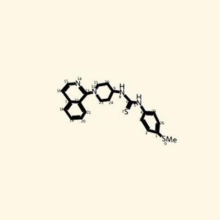 CSc1ccc(NC(=S)NC2CCN(c3nccc4ccccc34)CC2)cc1